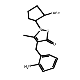 COC1CCCC1n1oc(=O)c(Cc2ccccc2N)c1C